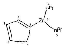 CC[CH2][Zr]([CH2]CC)[C]1=CC=CC1